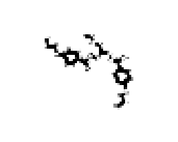 [CH2]COC[C](OOC(=O)c1ccc(OCCC)cc1)OOC(=O)c1ccc(OCCC)cc1